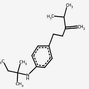 C=C(CCc1ccc(NC(C)(C)CC)cc1)C(C)C